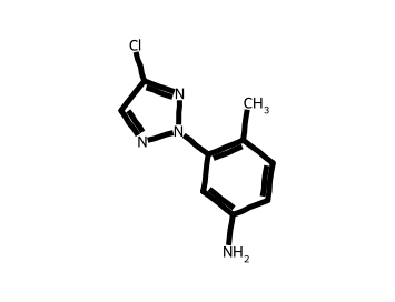 Cc1ccc(N)cc1-n1ncc(Cl)n1